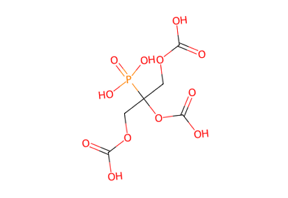 O=C(O)OCC(COC(=O)O)(OC(=O)O)P(=O)(O)O